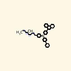 C\C=C/C=C(C)/C=C\C=C/Cc1ccc(N(c2ccc(C3=CC=CCC3)cc2)c2ccc(-c3cc4c(c5ccccc35)C=CCC4)cc2)cc1